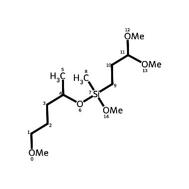 COCCCC(C)O[Si](C)(CCC(OC)OC)OC